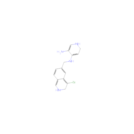 NC1=CNCC=C1NCc1ccc2c(c1)=C(Br)CNC=2